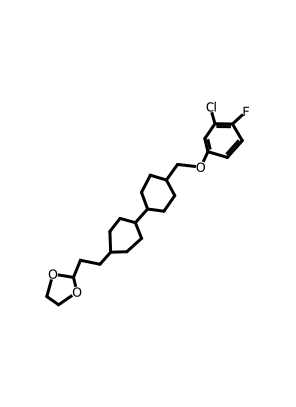 Fc1ccc(OCC2CCC(C3CCC(CCC4OCCO4)CC3)CC2)cc1Cl